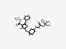 COC(=O)c1[nH]c(Cc2cccc(/C=C/C(=O)OC(C)(C)C)c2)nc1-c1ccccc1